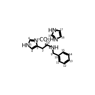 O=C(O)[C@@H](Cc1c[nH]cn1)NCc1ccccc1.c1c[nH]cn1